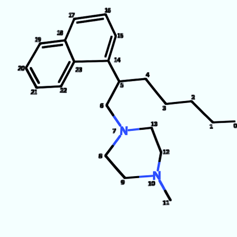 CCCCCC(CN1CCN(C)CC1)c1cccc2ccccc12